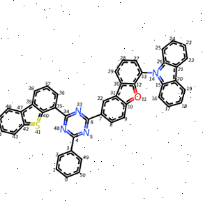 c1ccc(-c2nc(-c3ccc4oc5c(-n6c7ccccc7c7ccccc76)cccc5c4c3)nc(-c3cccc4c3sc3ccccc34)n2)cc1